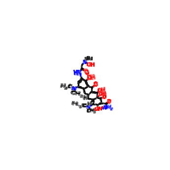 CN(C)c1cc(NC(=O)CN(O)C(C)(C)C)c(O)c2c1C[C@H]1C[C@H]3[C@H](N(C)C)C(O)=C(C(N)=O)C(=O)[C@@]3(O)C(O)=C1C2=O